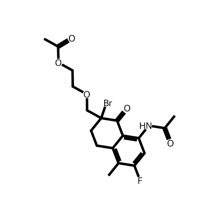 CC(=O)Nc1cc(F)c(C)c2c1C(=O)C(Br)(COCCOC(C)=O)CC2